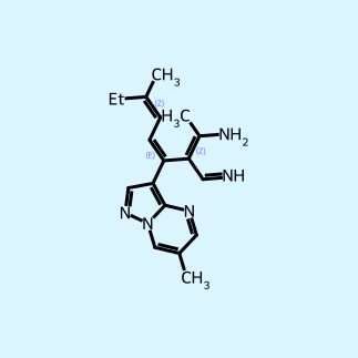 CC\C(C)=C/C=C(\C(C=N)=C(/C)N)c1cnn2cc(C)cnc12